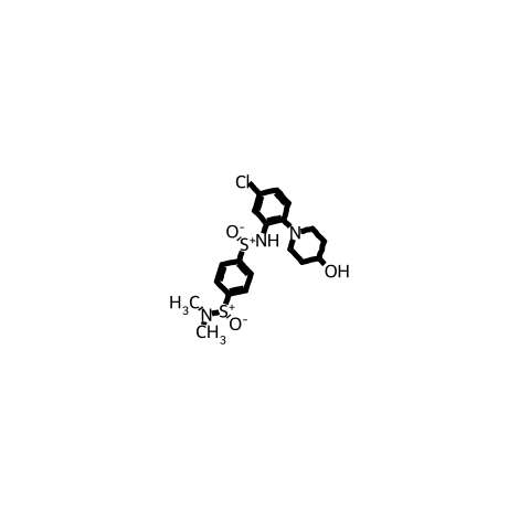 CN(C)[S+]([O-])c1ccc([S+]([O-])Nc2cc(Cl)ccc2N2CCC(O)CC2)cc1